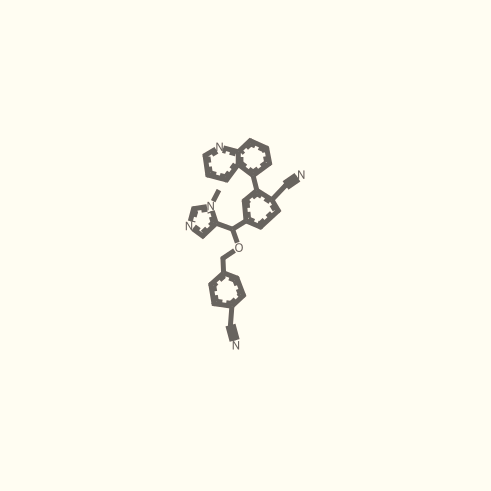 Cn1cncc1C(OCc1ccc(C#N)cc1)c1ccc(C#N)c(-c2cccc3ncccc23)c1